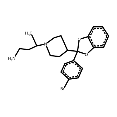 CC(CCN)N1CCC(C2(c3ccc(Br)cc3)Oc3ccccc3O2)CC1